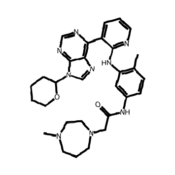 Cc1ccc(NC(=O)CN2CCCN(C)CC2)cc1Nc1ncccc1-c1ncnc2c1ncn2C1CCCCO1